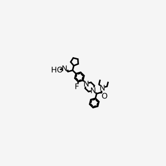 CCN(CC)C(=O)C(c1ccccc1)N1CCN(c2ccc(C(C=NO)C3CCCC3)cc2F)CC1